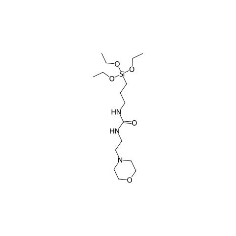 CCO[Si](CCCNC(=O)NCCN1CCOCC1)(OCC)OCC